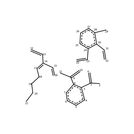 C=C(C)c1ccccc1C(=C)C.C=CC(C=C)=CCCCC.C=Cc1cccc(C)c1C=C